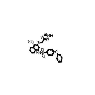 O=S(=O)(Nc1cc(SCc2nn[nH]n2)c(O)c2ccccc12)c1ccc(Oc2ccccc2)cc1